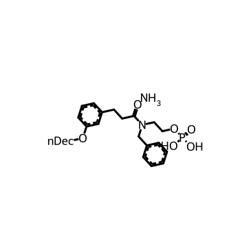 CCCCCCCCCCOc1cccc(CCC(=O)N(CCOP(=O)(O)O)Cc2ccccc2)c1.N